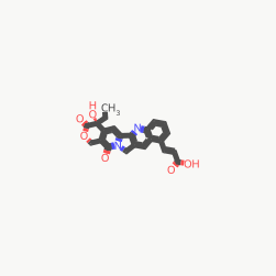 CC[C@@]1(O)C(=O)OCc2c1cc1n(c2=O)Cc2cc3c(C=CC(=O)O)cccc3nc2-1